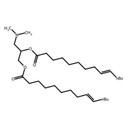 CCCCC=CCCCCCCCC(=O)OCC(CN(C)C)OC(=O)CCCCCCCC=CCCCC